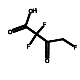 O=C(O)C(F)(F)C(=O)CF